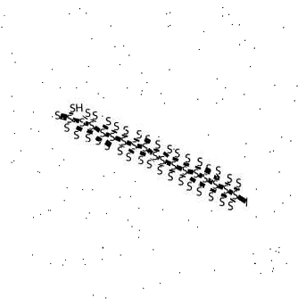 S=S(=S)(S)S(=S)(=S)S(=S)(=S)S(=S)(=S)S(=S)(=S)S(=S)(=S)S(=S)(=S)S(=S)(=S)S(=S)(=S)S(=S)(=S)S(=S)(=S)S(=S)(=S)S(=S)(=S)S(=S)(=S)S(=S)(=S)S(=S)(=S)S(=S)(=S)I